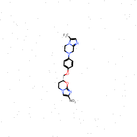 O=[N+]([O-])c1cn2c(n1)O[C@@H](COc1ccc(N3CCn4c(C(F)(F)F)cnc4C3)cc1)CC2